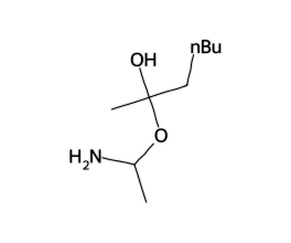 CCCCCC(C)(O)OC(C)N